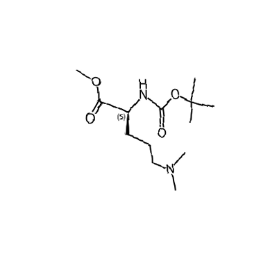 COC(=O)[C@H](CCCN(C)C)NC(=O)OC(C)(C)C